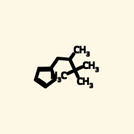 CC(CC1=CC=CC1)C(C)(C)C